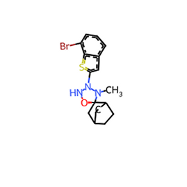 CN1N(c2cc3cccc(Br)c3s2)NO[C@@]12CC1CCC2CC1